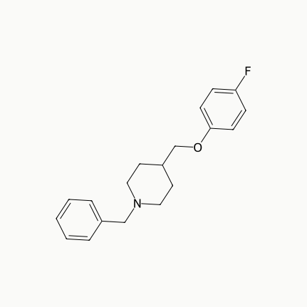 Fc1ccc(OCC2CCN(Cc3ccccc3)CC2)cc1